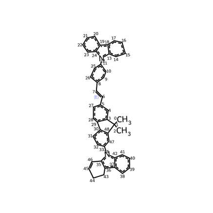 CC1(C)c2cc(/C=C/c3ccc(-n4c5ccccc5c5ccccc54)cc3)ccc2-c2ccc(-n3c4c(c5ccccc53)CCC=C4)cc21